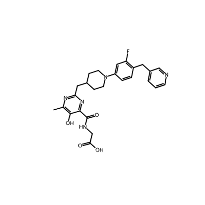 Cc1nc(CC2CCN(c3ccc(Cc4cccnc4)c(F)c3)CC2)nc(C(=O)NCC(=O)O)c1O